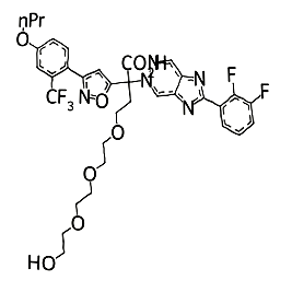 CCCOc1ccc(-c2cc(C(CCOCCOCCOCCO)(C(=O)O)n3cc4nc(-c5cccc(F)c5F)nc-4cn3)on2)c(C(F)(F)F)c1